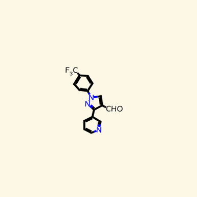 O=Cc1cn(-c2ccc(C(F)(F)F)cc2)nc1-c1cccnc1